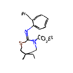 CCOC(=O)N1CC(C)(C)CSC1=Nc1ccccc1C(C)C